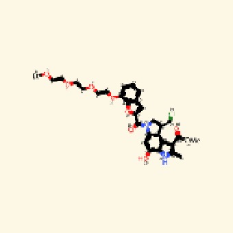 CCOCCOCCOCCOc1cccc2cc(C(=O)N3C[C@@H](CCl)c4c3cc(O)c3[nH]c(C)c(C(=O)OC)c43)oc12